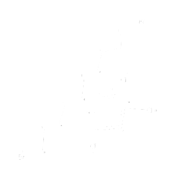 BrCCCCCCCCCCBr.Clc1ccc(Cl)c(Cl)c1